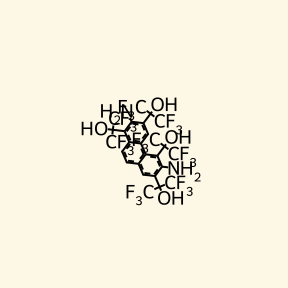 Nc1c(C(O)(C(F)(F)F)C(F)(F)F)cc2c(ccc3cc(C(O)(C(F)(F)F)C(F)(F)F)c(N)c(C(O)(C(F)(F)F)C(F)(F)F)c32)c1C(O)(C(F)(F)F)C(F)(F)F